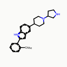 COc1ccccc1-c1cc2cc(C3CCN(C4CCNC4)CC3)ccc2[nH]1